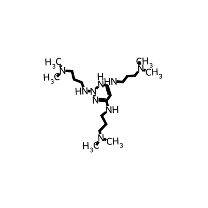 CN(C)CCCNC1=CC(NCCCN(C)C)=NN(NCCCN(C)C)N1